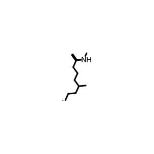 [CH2]CCC(C)CCCC(=C)NC